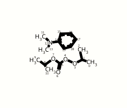 CC(C)OOC(=O)OC(C)C.CN(C)c1ccccc1